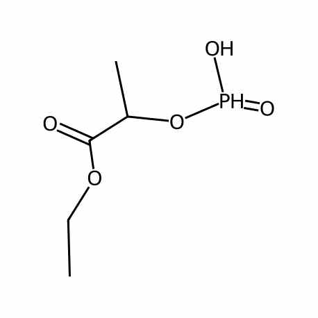 CCOC(=O)C(C)O[PH](=O)O